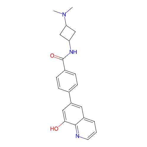 CN(C)C1CC(NC(=O)c2ccc(-c3cc(O)c4ncccc4c3)cc2)C1